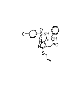 C=CCSc1nnc([C@@H](Cc2ccccc2)NS(=O)(=O)c2ccc(Cl)cc2)n1CC(=O)O